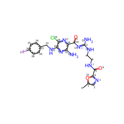 Cc1cnc(C(=O)NCCN/C(N)=N/C(=O)c2nc(Cl)c(NCc3ccc(I)cc3)nc2N)o1